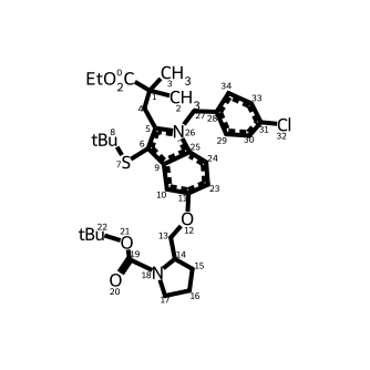 CCOC(=O)C(C)(C)Cc1c(SC(C)(C)C)c2cc(OCC3CCCN3C(=O)OC(C)(C)C)ccc2n1Cc1ccc(Cl)cc1